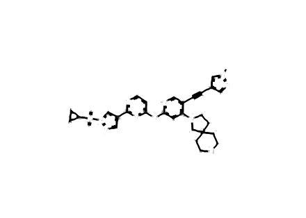 Cn1cc(C#Cc2cnc(Nc3ccnc(-c4cnn(S(=O)(=O)C5CC5)c4)n3)cc2N2CCC3(CCNCC3)C2)cn1